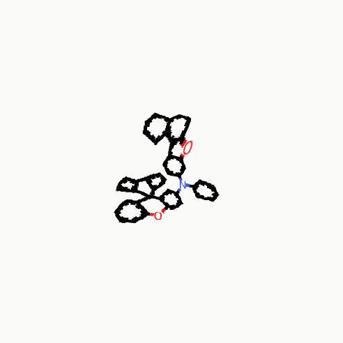 c1ccc(N(c2ccc3c(c2)C2(c4ccccc4O3)c3ccccc3-c3ccccc32)c2ccc3c(c2)oc2ccc4ccccc4c23)cc1